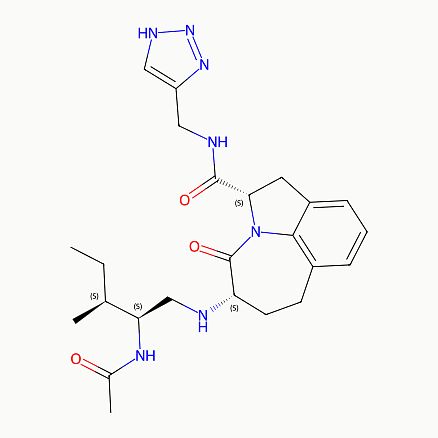 CC[C@H](C)[C@@H](CN[C@H]1CCc2cccc3c2N(C1=O)[C@H](C(=O)NCc1c[nH]nn1)C3)NC(C)=O